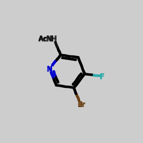 CC(=O)Nc1cc(F)c(Br)cn1